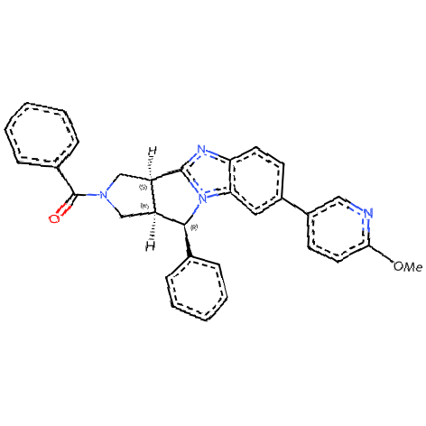 COc1ccc(-c2ccc3nc4n(c3c2)[C@@H](c2ccccc2)[C@H]2CN(C(=O)c3ccccc3)C[C@@H]42)cn1